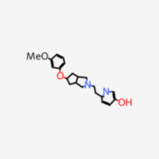 COc1cccc(OC2CC3CN(CCc4ccc(O)cn4)CC3C2)c1